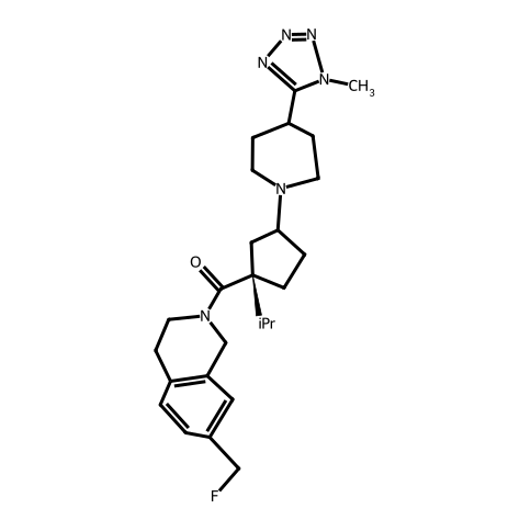 CC(C)[C@]1(C(=O)N2CCc3ccc(CF)cc3C2)CCC(N2CCC(c3nnnn3C)CC2)C1